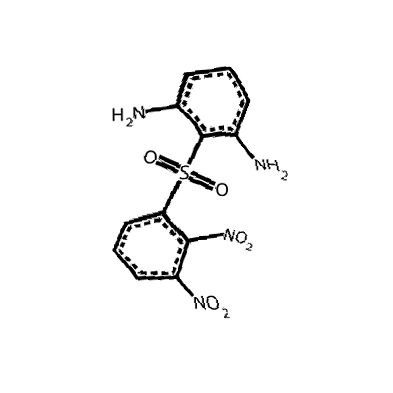 Nc1cccc(N)c1S(=O)(=O)c1cccc([N+](=O)[O-])c1[N+](=O)[O-]